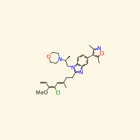 C=C/C(OC)=C(Cl)\C=C(/C)CCc1nc2cc(-c3c(C)noc3C)ccc2n1C[C@H](C)N1CCOCC1